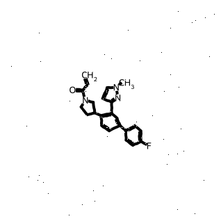 C=CC(=O)N1CCC(c2ccc(-c3ccc(F)cc3)cc2-c2ccn(C)n2)C1